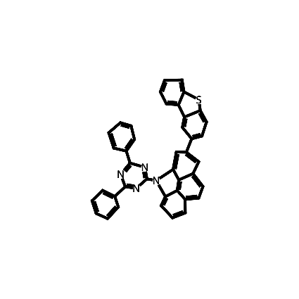 c1ccc(-c2nc(-c3ccccc3)nc(-n3c4cccc5ccc6cc(-c7ccc8sc9ccccc9c8c7)cc3c6c54)n2)cc1